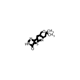 CC1(C)Cc2nc3sc4c(=O)[nH]cnc4c3cc2CO1